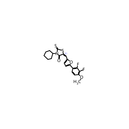 COc1ccc(-c2ccc(/C=C3/SC(=S)N(C4CCCCC4)C3=O)o2)c(F)c1F